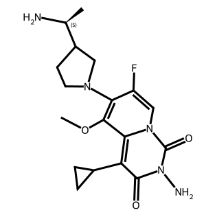 COc1c(N2CCC([C@H](C)N)C2)c(F)cn2c(=O)n(N)c(=O)c(C3CC3)c12